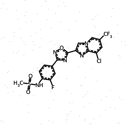 CS(=O)(=O)Nc1ccc(-c2noc(-c3cn4cc(C(F)(F)F)cc(Cl)c4n3)n2)cc1F